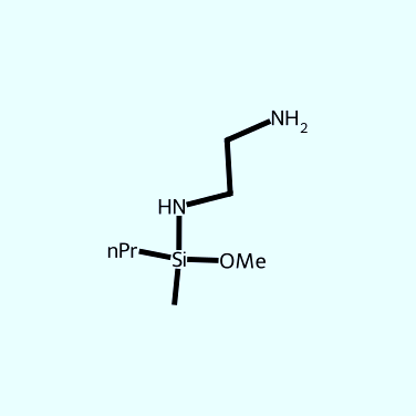 CCC[Si](C)(NCCN)OC